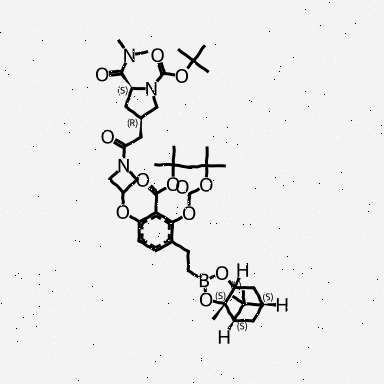 CN(C)C(=O)[C@@H]1C[C@H](CC(=O)N2CC(Oc3ccc(CCB4O[C@@H]5C[C@@H]6C[C@@H](C6(C)C)[C@]5(C)O4)c(OC(=O)OC(C)(C)C)c3C(=O)OC(C)(C)C)C2)CN1C(=O)OC(C)(C)C